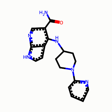 NC(=O)c1cnc2[nH]ccc2c1NC1CCN(c2ccccn2)CC1